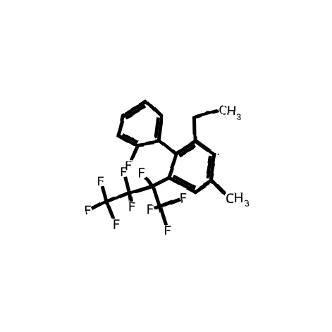 CCc1[c]c(C)cc(C(F)(C(F)(F)F)C(F)(F)C(F)(F)F)c1-c1ccccc1F